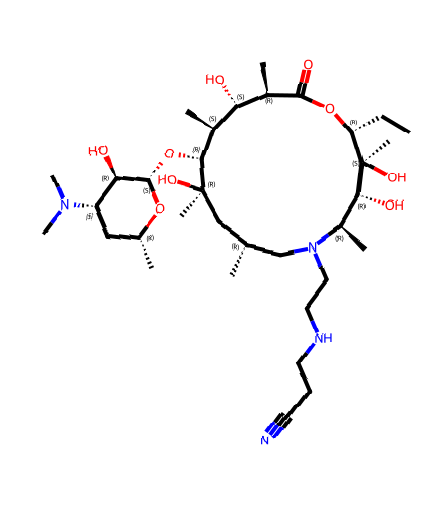 CC[C@H]1OC(=O)[C@H](C)[C@@H](O)[C@H](C)[C@@H](O[C@@H]2O[C@H](C)C[C@H](N(C)C)[C@H]2O)[C@](C)(O)C[C@@H](C)CN(CCNCCC#N)[C@H](C)[C@@H](O)[C@]1(C)O